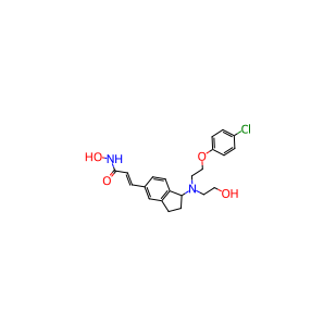 O=C(C=Cc1ccc2c(c1)CCC2N(CCO)CCOc1ccc(Cl)cc1)NO